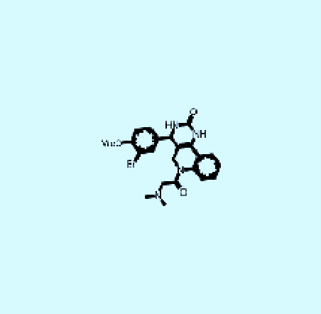 COc1ccc(C2NC(=O)NC3=C2CN(C(=O)CN(C)C)c2ccccc23)cc1Br